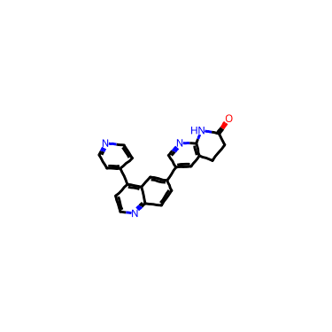 O=C1CCc2cc(-c3ccc4nccc(-c5ccncc5)c4c3)cnc2N1